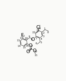 CCc1cc(CC)c(OCc2c(F)cccc2OC(=O)OC)cc1Cl